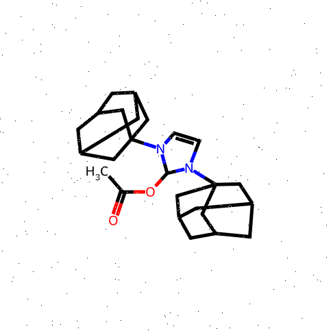 CC(=O)OC1N(C23CC4CC(CC(C4)C2)C3)C=CN1C12CC3CC(CC(C3)C1)C2